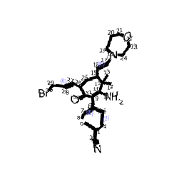 C=C(C#N)/C=C\C(=C/C)C1=C(N)C(C)(C)C(/C=C/N2CCCOCC2)CC(/C=C/CBr)C1=O